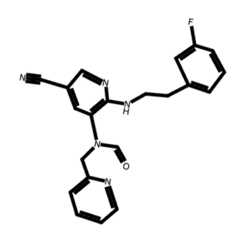 N#Cc1cnc(NCCc2cccc(F)c2)c(N(C=O)Cc2ccccn2)c1